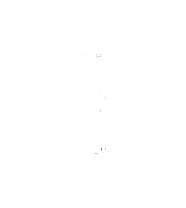 CCCOc1ccc(OC)c(F)c1C(=O)c1ccc(C(=O)O)cc1